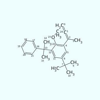 C=C=C(C)c1cc(C(C)(C)C)cc(C(C)(C)c2ccccc2)c1OC